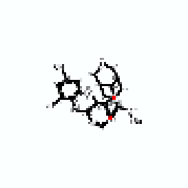 [C-]#[N+]c1ccc(Nc2ncnc(OC3C4COCC3CN(C(=O)OC(C)(C)C)C4)c2C)c(F)c1